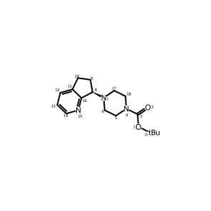 CC(C)(C)OC(=O)N1CCN([C@@H]2CCc3cccnc32)CC1